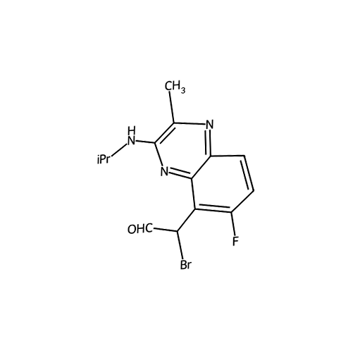 Cc1nc2ccc(F)c(C(Br)C=O)c2nc1NC(C)C